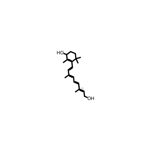 CC(C=CC1=C(C)C(O)CCC1(C)C)=CC=C/C(C)=C/CO